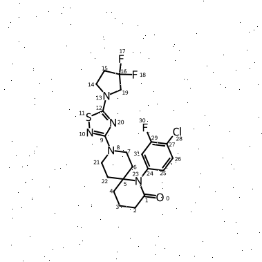 O=C1CCCC2(CCN(c3nsc(N4CCC(F)(F)C4)n3)CC2)N1c1ccc(Cl)c(F)c1